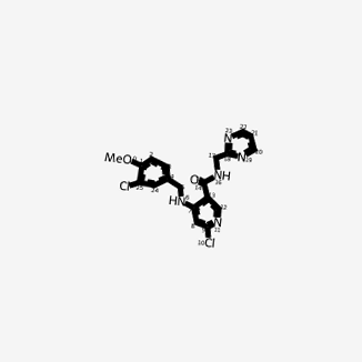 COc1ccc(CNc2cc(Cl)ncc2C(=O)NCc2ncccn2)cc1Cl